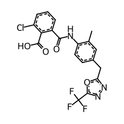 Cc1cc(Cc2nnc(C(F)(F)F)o2)ccc1NC(=O)c1cccc(Cl)c1C(=O)O